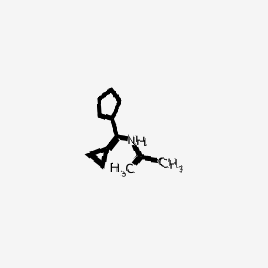 CC(C)NC(=C1CC1)C1CCCC1